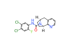 O=C(Nc1cc(Cl)c(Cl)cc1F)N1[C@H]2CC[C@@H]1c1ncccc1C2